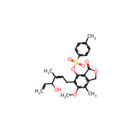 C=CC(O)C(C)=CCc1c(OC)c(C)c2c(c1OS(=O)(=O)c1ccc(C)cc1)C(=O)OC2